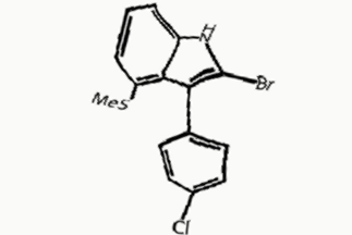 CSc1cccc2[nH]c(Br)c(-c3ccc(Cl)cc3)c12